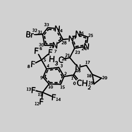 C=C(c1cc(C(F)(F)F)cc(C(F)(F)F)c1)N(CC1CC1)C(C)c1ncnn1-c1ncc(Br)cn1